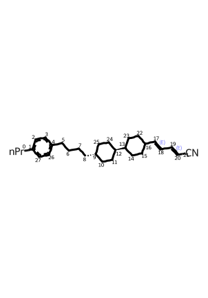 CCCc1ccc(CCCC[C@H]2CC[C@H](C3CCC(/C=C/C=C/C#N)CC3)CC2)cc1